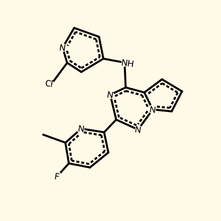 Cc1nc(-c2nc(Nc3ccnc(Cl)c3)c3cccn3n2)ccc1F